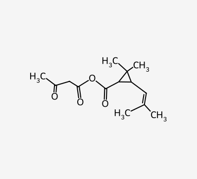 CC(=O)CC(=O)OC(=O)C1C(C=C(C)C)C1(C)C